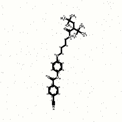 CC(C)(C)CC(C(=O)OCCCCOc1ccc(OC(=O)c2ccc(C#N)cc2)cc1)C(C)(C)C